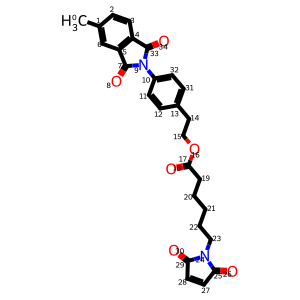 Cc1ccc2c(c1)C(=O)N(c1ccc(CCOC(=O)CCCCCN3C(=O)C=CC3=O)cc1)C2=O